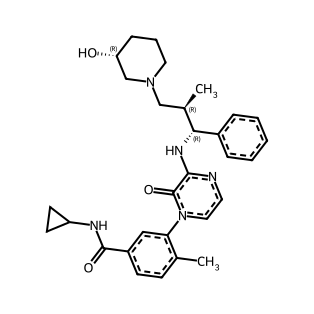 Cc1ccc(C(=O)NC2CC2)cc1-n1ccnc(N[C@@H](c2ccccc2)[C@H](C)CN2CCC[C@@H](O)C2)c1=O